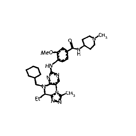 CCC1c2nnc(C)n2-c2cnc(Nc3ccc(C(=O)NC4CCN(C)CC4)cc3OC)nc2N1CC1CCCCC1